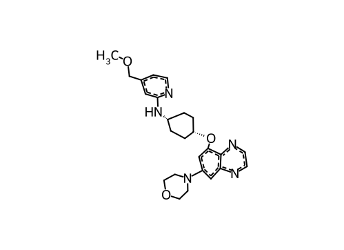 COCc1ccnc(N[C@H]2CC[C@@H](Oc3cc(N4CCOCC4)cc4nccnc34)CC2)c1